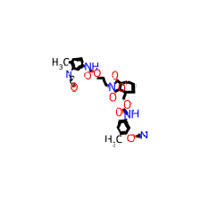 Cc1ccc(NC(=O)OCCCN2C(=O)C3C4C=CC(COC(=O)Nc5ccc(C)c(OC#N)c5)(O4)C3C2=O)cc1N=C=O